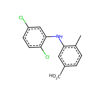 Cc1ccc(C(=O)O)cc1Nc1cc(Cl)ccc1Cl